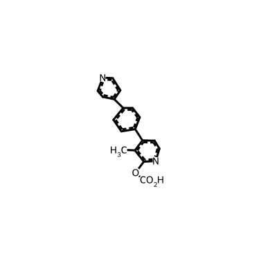 Cc1c(-c2ccc(-c3ccncc3)cc2)ccnc1OC(=O)O